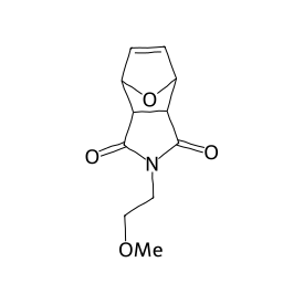 COCCN1C(=O)C2C3C=CC(O3)C2C1=O